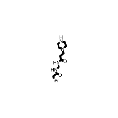 CC(C)CC(=O)NCNC(=O)CCN1CCNCC1